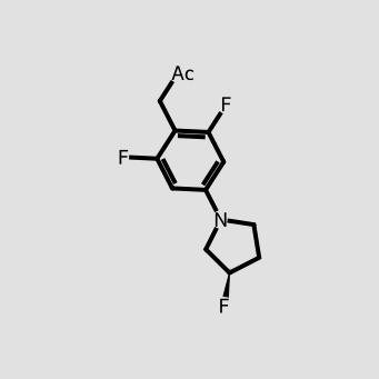 CC(=O)Cc1c(F)cc(N2CC[C@@H](F)C2)cc1F